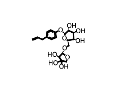 C=CCc1ccc(O[C@@H]2O[C@H](CO[C@@H]3OCC(O)(O)[C@H]3O)[C@@H](O)[C@H](O)[C@H]2O)cc1